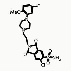 COc1ccc(F)cc1N1CCN(CCCN2C(=O)c3cc(Cl)c(S(N)(=O)=O)cc3C2=O)CC1